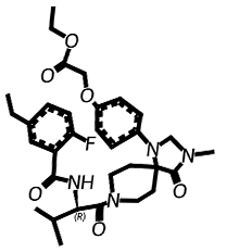 CCOC(=O)COc1ccc(N2CN(C)C(=O)C23CCN(C(=O)[C@H](NC(=O)c2cc(CC)ccc2F)C(C)C)CC3)cc1